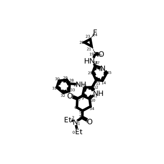 CCN(CC)C(=O)C1CC(=O)c2c([nH]c(-c3ccnc(NC(=O)[C@@H]4C[C@@H]4F)c3)c2Nc2ccccc2)C1